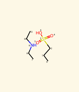 CCCS(=O)(=O)O.CCNCC